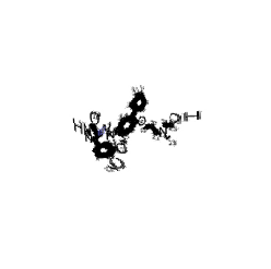 COc1ccc(C2=NNC(=O)/C2=N/Nc2ccc(OCCCN(C)CCO)c(-c3ccccc3)c2)cc1OC